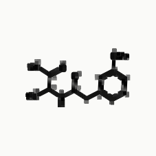 COc1cccc(CC(=O)NC(C(=O)C(C)(C)C)C(C)(C)C)c1